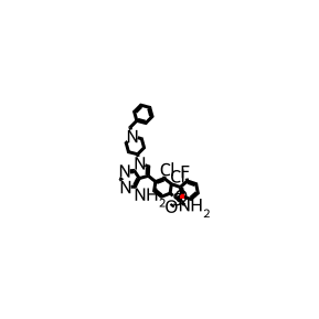 Nc1ncnc2c1c(C1=C(Cl)C(Cl)(c3ccccc3F)C(S(N)(=O)=O)C=C1)cn2C1CCN(Cc2ccccc2)CC1